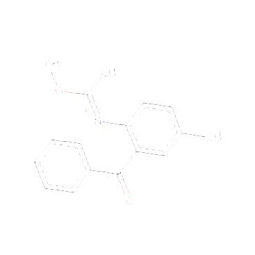 CO/C(C)=N/c1ccc(C)cc1C(=O)c1ccccc1